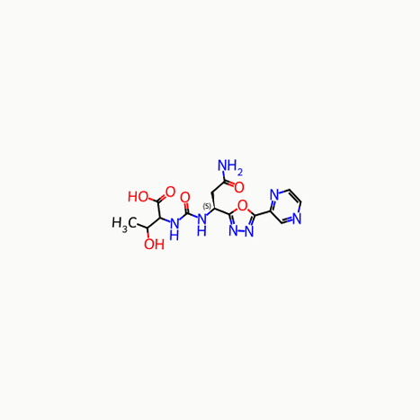 CC(O)C(NC(=O)N[C@@H](CC(N)=O)c1nnc(-c2cnccn2)o1)C(=O)O